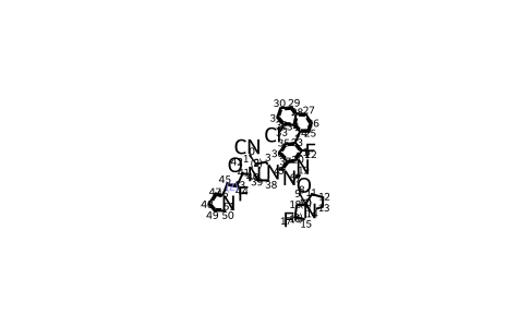 N#CC[C@H]1CN(c2nc(OC[C@@]34CCCN3C[C@H](F)C4)nc3c(F)c(-c4cccc5cccc(Cl)c45)ccc23)CCN1C(=O)/C(F)=C/c1ccccn1